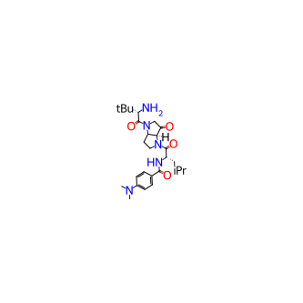 CC(C)C[C@H](NC(=O)c1ccc(N(C)C)cc1)C(=O)N1CCC2[C@H]1C(=O)CN2C(=O)[C@@H](N)C(C)(C)C